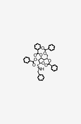 O=C(OC[C@@H](OC(=O)c1ccccc1)[C@@H]1O[C@@H](SNCc2ccccc2)[C@H](OC(=O)c2ccccc2)[C@H]1OC(=O)c1ccccc1)c1ccccc1